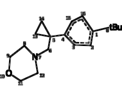 CC(C)(C)c1ccc(C2(CN3CCOCC3)CC2)cc1